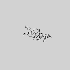 CC(C)c1cc(C#N)cc(C2CC2)c1CC(=O)Nc1sc(C(C)(C)O)nc1CO